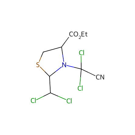 CCOC(=O)C1CSC(C(Cl)Cl)N1C(Cl)(Cl)C#N